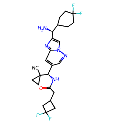 N#CC1([C@H](NC(=O)CC2CC(F)(F)C2)c2cnn3cc([C@@H](N)C4CCC(F)(F)CC4)nc3c2)CC1